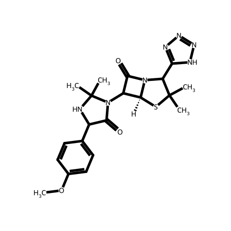 COc1ccc(C2NC(C)(C)N(C3C(=O)N4C(c5nnn[nH]5)C(C)(C)S[C@@H]34)C2=O)cc1